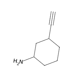 C#CC1CCCC(N)C1